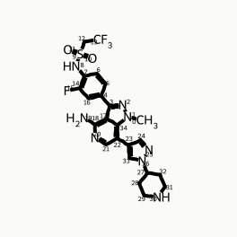 Cn1nc(-c2ccc(NS(=O)(=O)CC(F)(F)F)c(F)c2)c2c(N)ncc(-c3cnn(C4CCNCC4)c3)c21